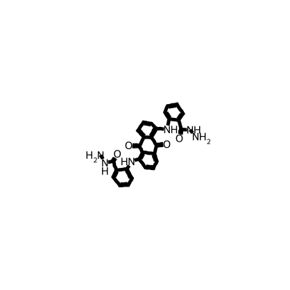 NNC(=O)c1ccccc1Nc1cccc2c1C(=O)c1cccc(Nc3ccccc3C(=O)NN)c1C2=O